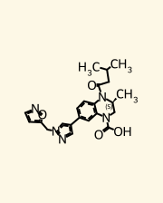 CC(C)CC(=O)N1c2ccc(-c3cnn(Cc4ccno4)c3)cc2N(C(=O)O)C[C@@H]1C